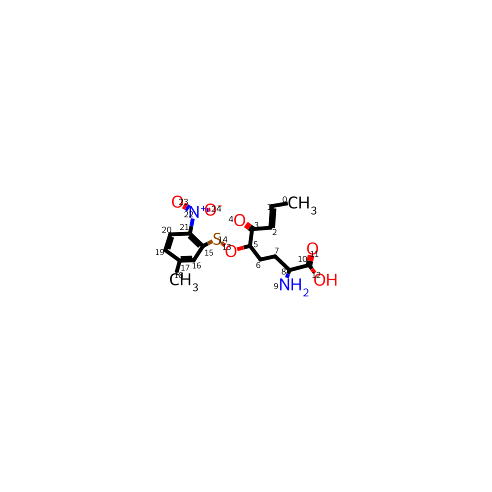 C/C=C/C(=O)C(CCC(N)C(=O)O)OSc1cc(C)ccc1[N+](=O)[O-]